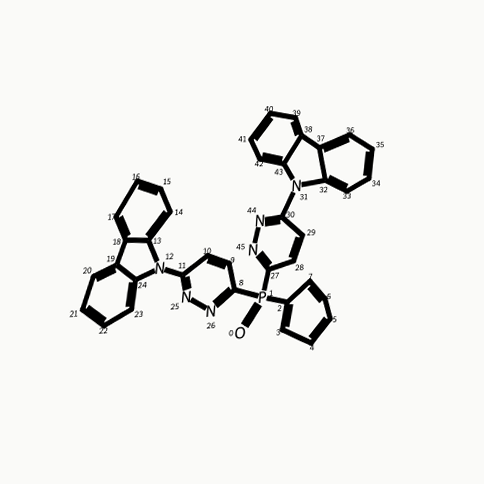 O=P(c1ccccc1)(c1ccc(-n2c3ccccc3c3ccccc32)nn1)c1ccc(-n2c3ccccc3c3ccccc32)nn1